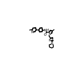 Cc1cc(C(=O)Nc2ccc(-c3ccc(C)nc3)cc2)n(Cc2csc(N3CCCCC3)n2)c1